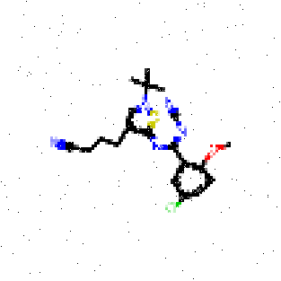 COc1ccc(Cl)cc1C(=NC#N)N=c1sn(C(C)(C)C)cc1CCCC#N